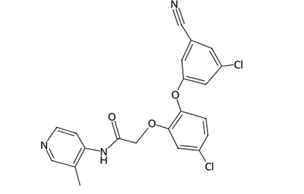 Cc1cnccc1NC(=O)COc1cc(Cl)ccc1Oc1cc(Cl)cc(C#N)c1